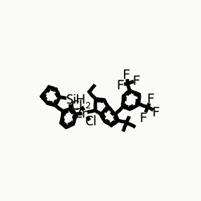 CCC1=Cc2c(ccc(C(C)(C)C)c2-c2cc(C(F)(F)F)cc(C(F)(F)F)c2)[CH]1[Zr]([Cl])([Cl])[c]1cccc2c1[SiH2]c1ccccc1-2